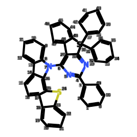 c1ccc(-c2nc(-n3c4ccccc4c4ccc5c6ccccc6sc5c43)c3c(n2)[Si](c2ccccc2)(c2ccccc2)c2ccccc2-3)cc1